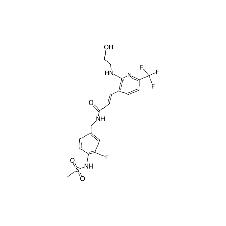 CS(=O)(=O)Nc1ccc(CNC(=O)C=Cc2ccc(C(F)(F)F)nc2NCCO)cc1F